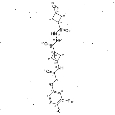 O=C(COc1ccc(Cl)c(F)c1)NC12CC(C(=O)NNC(=O)C3CC(C(F)(F)F)C3)(C1)C2